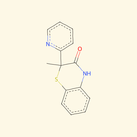 CC1(c2ccccn2)Sc2ccccc2NC1=O